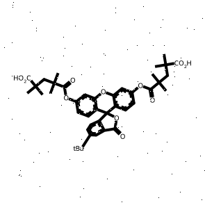 CC(C)(CC(C)(C)C(=O)Oc1ccc2c(c1)Oc1cc(OC(=O)C(C)(C)CC(C)(C)C(=O)O)ccc1C21OC(=O)c2cc(C(C)(C)C)ccc21)C(=O)O